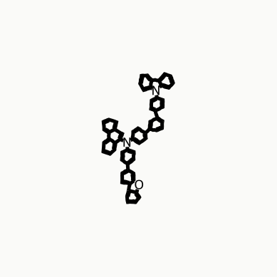 c1cc(-c2ccc(N(c3ccc(-c4ccc5c(c4)oc4ccccc45)cc3)c3cc4ccccc4c4ccccc34)cc2)cc(-c2ccc(-n3c4ccccc4c4ccccc43)cc2)c1